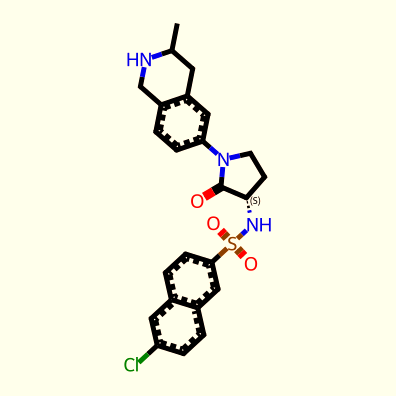 CC1Cc2cc(N3CC[C@H](NS(=O)(=O)c4ccc5cc(Cl)ccc5c4)C3=O)ccc2CN1